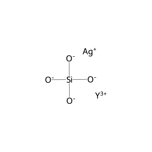 [Ag+].[O-][Si]([O-])([O-])[O-].[Y+3]